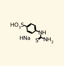 NC(=S)Nc1ccc(S(=O)(=O)O)cc1.[NaH]